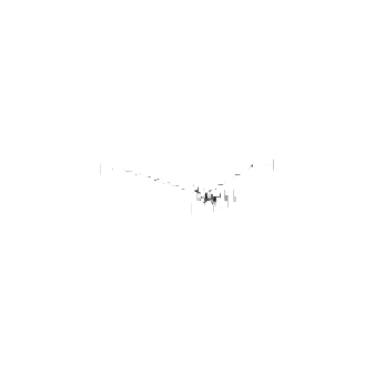 CCCCCCCCC=CCCCCCCCC(=O)N1CC[N+](C(C)(O)I)=C1CCCCCCCCCCCC.[Cl-]